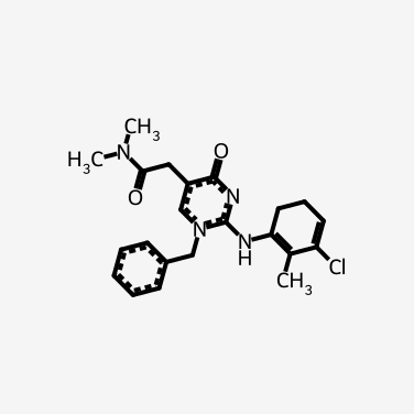 CC1=C(Nc2nc(=O)c(CC(=O)N(C)C)cn2Cc2ccccc2)CCC=C1Cl